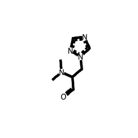 CN(C)C(C=O)Cn1cncn1